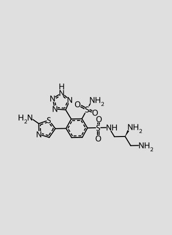 NC[C@H](N)CNS(=O)(=O)c1ccc(-c2cnc(N)s2)c(-c2nn[nH]n2)c1S(N)(=O)=O